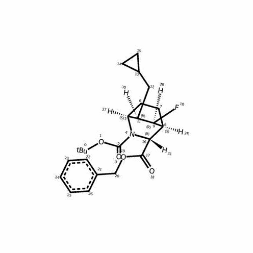 CC(C)(C)OC(=O)N1[C@H]2CC[C@H]([C@H](F)[C@@H]2CC2CC2)[C@@H]1C(=O)OCc1ccccc1